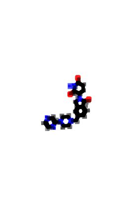 O=C1CCC(N2Cc3cc(CN4CCN(c5cnccn5)CC4)ccc3C2=O)C(=O)N1